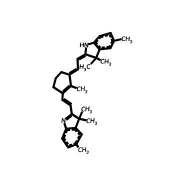 CC1=C(/C=C/C2=Nc3ccc(C)cc3C2(C)C)CCC/C1=C\C=C1\Nc2ccc(C)cc2C1(C)C